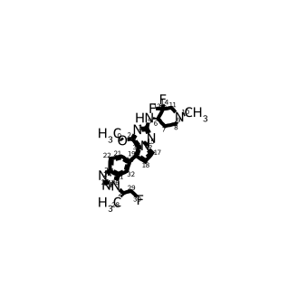 COc1nc(N[C@@H]2CCN(C)CC2(F)F)nn2ccc(-c3ccc4nnn([C@H](C)CF)c4c3)c12